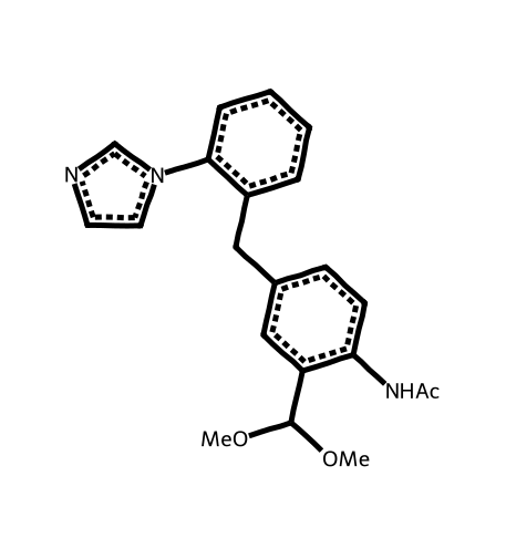 COC(OC)c1cc(Cc2ccccc2-n2ccnc2)ccc1NC(C)=O